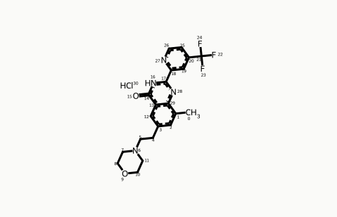 Cc1cc(CCN2CCOCC2)cc2c(=O)[nH]c(-c3cc(C(F)(F)F)ccn3)nc12.Cl